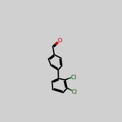 O=Cc1ccc(-c2cccc(Cl)c2Cl)cc1